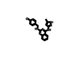 Cc1cc(Nc2nc(NCc3ccc(Cl)cc3)nc3ccccc23)n[nH]1